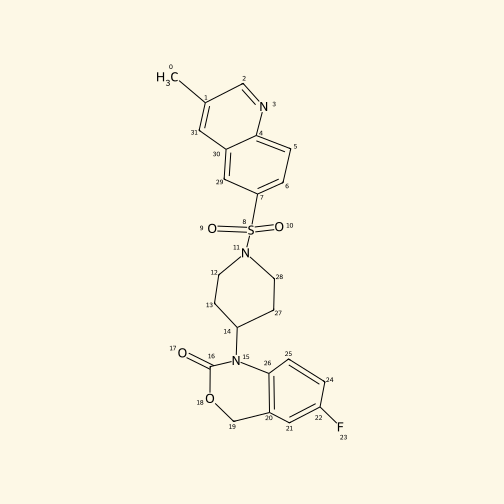 Cc1cnc2ccc(S(=O)(=O)N3CCC(N4C(=O)OCc5cc(F)ccc54)CC3)cc2c1